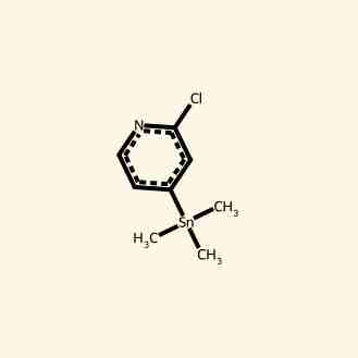 [CH3][Sn]([CH3])([CH3])[c]1ccnc(Cl)c1